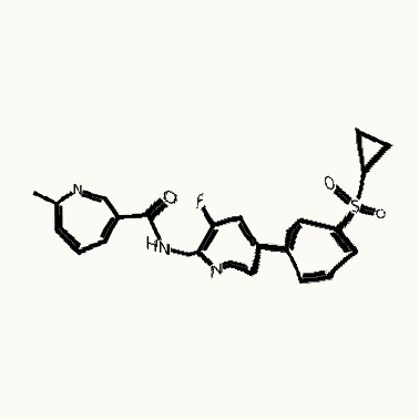 CC1=C=CC=C(C(=O)Nc2ncc(-c3cccc(S(=O)(=O)C4CC4)c3)cc2F)C=N1